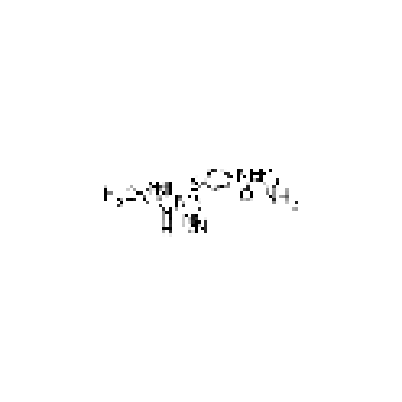 Cc1cc(Nc2nc(Sc3ccc(NC(=O)C4CCCC4N)cc3)cc3nccn23)n[nH]1